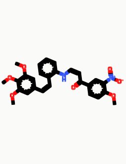 COc1ccc(C(=O)/C=C\Nc2ccccc2/C=C\c2cc(OC)c(OC)c(OC)c2)cc1[N+](=O)[O-]